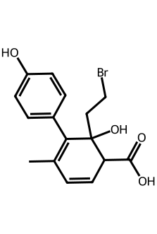 CC1=C(c2ccc(O)cc2)C(O)(CCBr)C(C(=O)O)C=C1